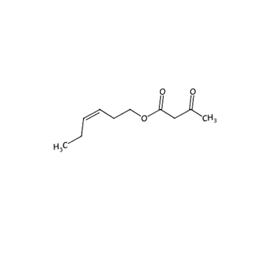 CC/C=C\CCOC(=O)CC(C)=O